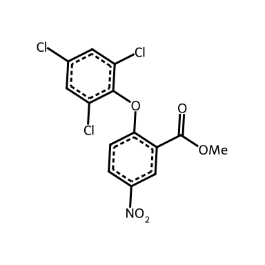 COC(=O)c1cc([N+](=O)[O-])ccc1Oc1c(Cl)cc(Cl)cc1Cl